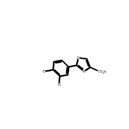 O=C(O)c1coc(-c2ccc(Cl)c(Cl)c2)n1